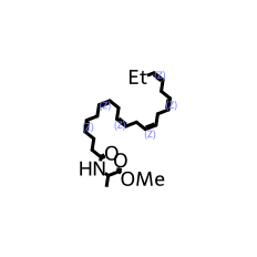 CC/C=C\C/C=C\C/C=C\C/C=C\C/C=C\C/C=C\CCC(=O)NC(C)C(=O)OC